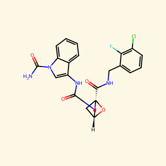 NC(=O)n1cc(NC(=O)N2C[C@H]3C[C@@]2(C(=O)NCc2cccc(Cl)c2F)O3)c2ccccc21